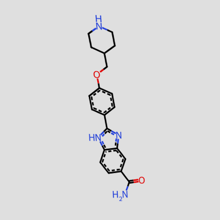 NC(=O)c1ccc2[nH]c(-c3ccc(OCC4CCNCC4)cc3)nc2c1